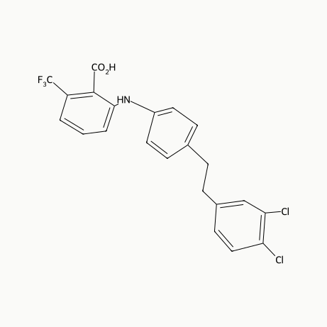 O=C(O)c1c(Nc2ccc(CCc3ccc(Cl)c(Cl)c3)cc2)cccc1C(F)(F)F